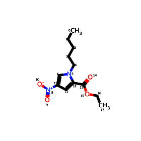 CCCCCn1cc([N+](=O)[O-])cc1C(=O)OCC